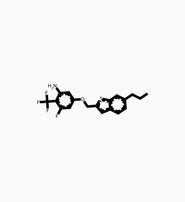 CCCc1ccc2cc(COc3cc(N)c(C(F)(F)F)c(F)c3)sc2c1